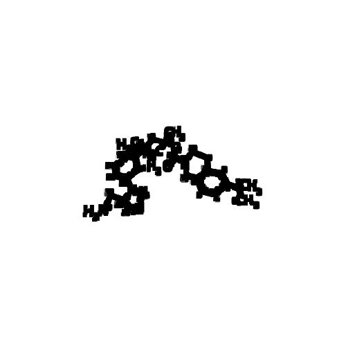 CC(C)c1ccc2c(c1)CCN(C(=O)OC(C)(C)CC(C)(C)c1cccc(-n3nncc3CN)c1)C2